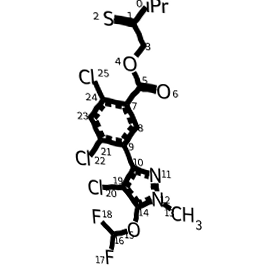 CC(C)C(=S)COC(=O)c1cc(-c2nn(C)c(OC(F)F)c2Cl)c(Cl)cc1Cl